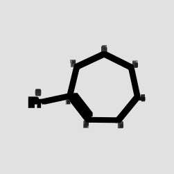 CC(C)C1=CCCCCC1